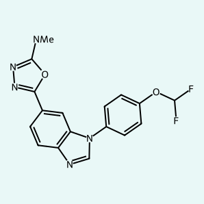 CNc1nnc(-c2ccc3ncn(-c4ccc(OC(F)F)cc4)c3c2)o1